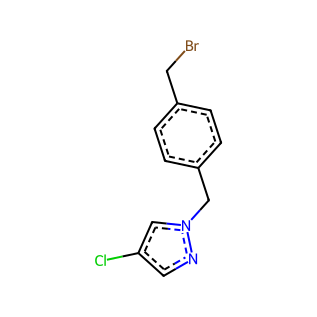 Clc1cnn(Cc2ccc(CBr)cc2)c1